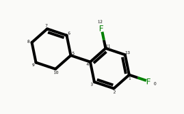 Fc1ccc(C2C=CCCC2)c(F)c1